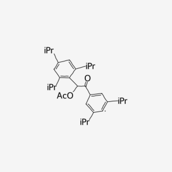 CC(=O)OC(C(=O)c1cc(C(C)C)[c]c(C(C)C)c1)c1c(C(C)C)cc(C(C)C)cc1C(C)C